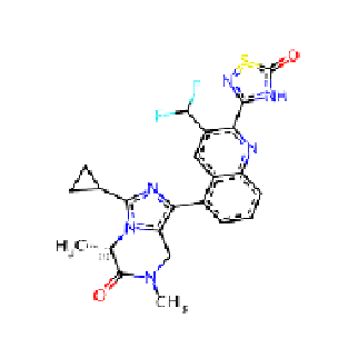 C[C@H]1C(=O)N(C)Cc2c(-c3cccc4nc(-c5nsc(=O)[nH]5)c(C(F)F)cc34)nc(C3CC3)n21